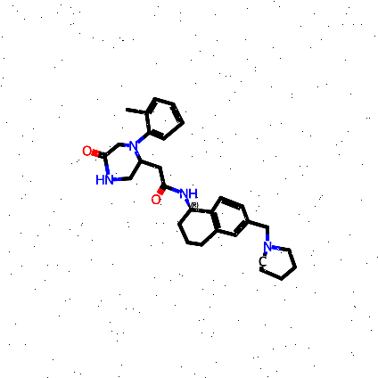 Cc1ccccc1N1CC(=O)NCC1CC(=O)N[C@@H]1CCCc2cc(CN3CCCCC3)ccc21